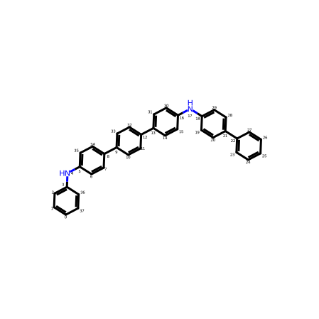 c1ccc(Nc2ccc(-c3ccc(-c4ccc(Nc5ccc(-c6ccccc6)cc5)cc4)cc3)cc2)cc1